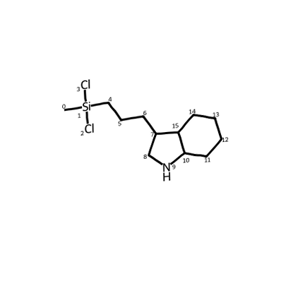 C[Si](Cl)(Cl)CCCC1CNC2CCCCC12